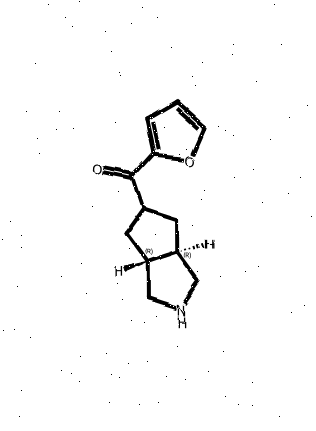 O=C(c1ccco1)C1C[C@H]2CNC[C@@H]2C1